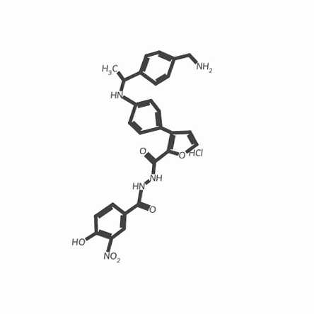 CC(Nc1ccc(-c2ccoc2C(=O)NNC(=O)c2ccc(O)c([N+](=O)[O-])c2)cc1)c1ccc(CN)cc1.Cl